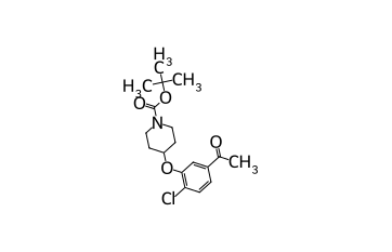 CC(=O)c1ccc(Cl)c(OC2CCN(C(=O)OC(C)(C)C)CC2)c1